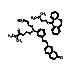 CN(C)C(=O)CCS[C@H](SCCC(=O)O)c1cccc(/C=C/c2ccc3ccc(Cl)cc3n2)c1.CN(C)CCC=C1c2ccccc2COc2ccccc21